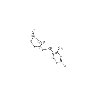 Cc1cc(Br)ccc1OCC1CCC(=O)N1